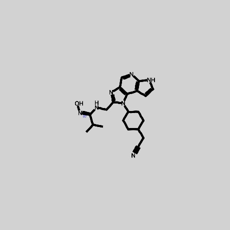 CC(C)/C(=N/O)NCc1nc2cnc3[nH]ccc3c2n1C1CCC(CC#N)CC1